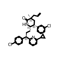 C=CC[C@@]1(C)C[C@H](c2cccc(Cl)c2)[C@H](CC[C@H](c2ccc(Cl)cc2)c2cccc(C3CC3)n2)NC1=O